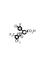 O=C(NC1CCN(C(=O)O)CC1c1ccc(Cl)c(F)c1)c1cc(C(F)(F)F)cc(C(F)(F)F)c1